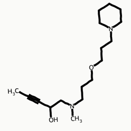 CC#CC(O)CN(C)CCCOCCCN1CCCCC1